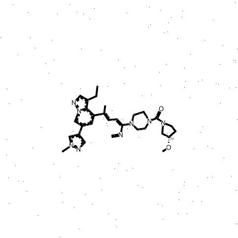 C=N/C(=C\C=C(/C)c1cc(-c2cnn(C)c2)cn2ncc(CC)c12)N1CCN(C(=O)N2CC[C@H](OC)C2)CC1